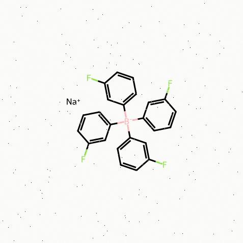 Fc1cccc([B-](c2cccc(F)c2)(c2cccc(F)c2)c2cccc(F)c2)c1.[Na+]